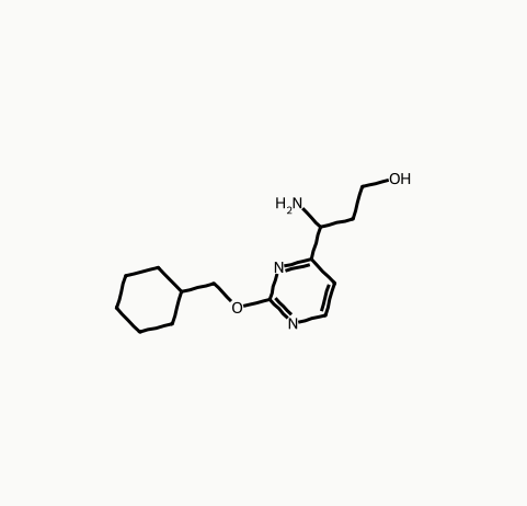 NC(CCO)c1ccnc(OCC2CCCCC2)n1